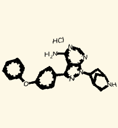 Cl.Nc1ncnc2c1c(-c1ccc(Oc3ccccc3)cc1)nn2C1CC2CC1CN2